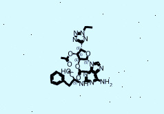 CCn1nnc([C@@H]2O[C@H](n3cnc4c(N)nc(N[C@H](CO)Cc5ccccc5)nc43)[C@@H](OC(C)=O)[C@H]2OC(C)=O)n1